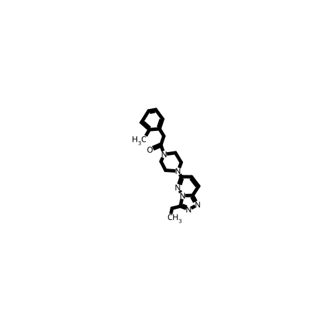 CCc1nnc2ccc(N3CCN(C(=O)Cc4ccccc4C)CC3)nn12